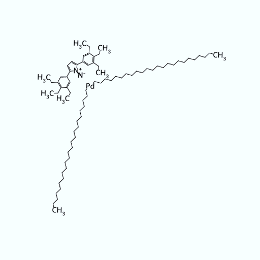 CCCCCCCCCCCCCCCCCCCCCCC[CH2][Pd][CH2]CCCCCCCCCCCCCCCCCCCCCCC.CCc1cc(C2=CC=C(c3cc(CC)c(CC)c(CC)c3)[N+]2=[N-])cc(CC)c1CC